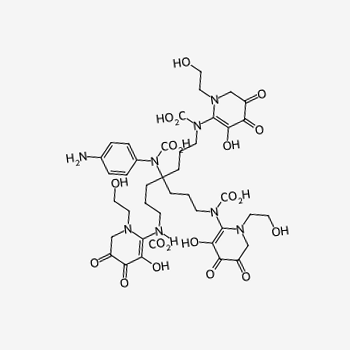 Nc1ccc(N(C(=O)O)C(CCCN(C(=O)O)C2=C(O)C(=O)C(=O)CN2CCO)(CCCN(C(=O)O)C2=C(O)C(=O)C(=O)CN2CCO)CCCN(C(=O)O)C2=C(O)C(=O)C(=O)CN2CCO)cc1